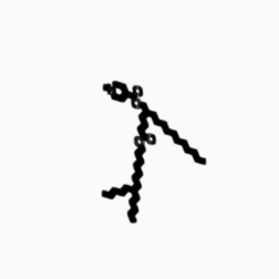 CCCCCCCCCCCC(CCCC(=O)OCCCCCCCC(CCCCC)CCCCC)COC(=O)C1CCN(C)CC1